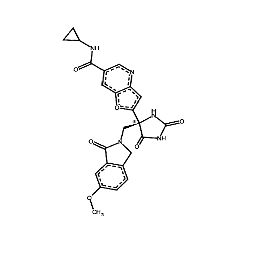 COc1ccc2c(c1)C(=O)N(C[C@@]1(c3cc4ncc(C(=O)NC5CC5)cc4o3)NC(=O)NC1=O)C2